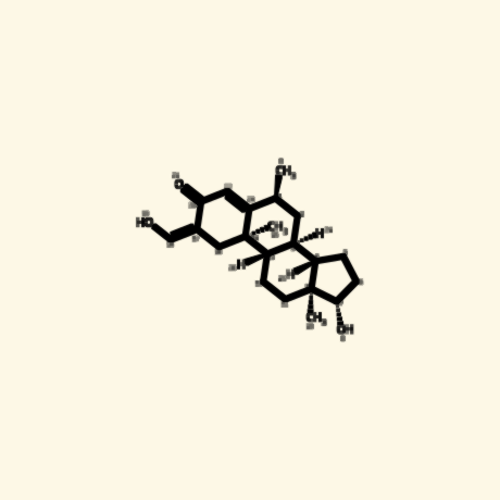 C[C@H]1C[C@H]2[C@@H]3CC[C@H](O)[C@@]3(C)CC[C@@H]2[C@@]2(C)CC(=CO)C(=O)C=C12